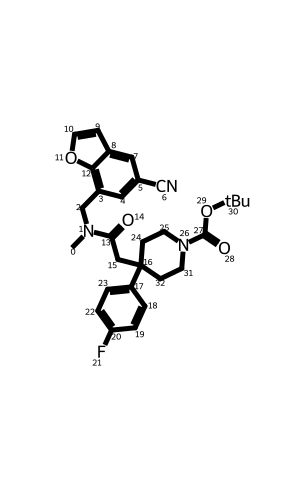 CN(Cc1cc(C#N)cc2ccoc12)C(=O)CC1(c2ccc(F)cc2)CCN(C(=O)OC(C)(C)C)CC1